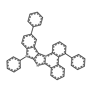 c1ccc(-c2ccc3c(c2)c2c(nc4c5ccccc5c5c(-c6ccccc6)cccc5n42)n3-c2ccccc2)cc1